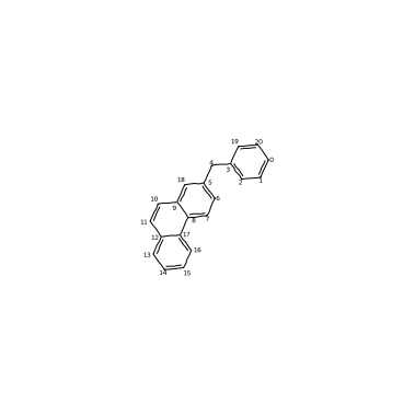 c1ccc(Cc2ccc3c(ccc4ccccc43)c2)cc1